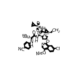 C=C[C@@H]1C[C@@]1(C(=O)NS(=O)(=O)C1CC1)N1C[C@H](Oc2ncc(OC)c3ccc(Cl)cc23)C[C@H]1C(=O)NC(=O)[C@H](Nc1ccc(C#N)cc1)C(C)(C)C